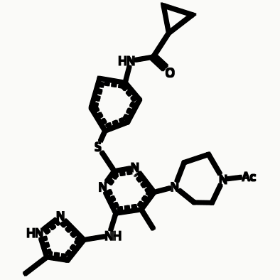 CC(=O)N1CCN(c2nc(Sc3ccc(NC(=O)C4CC4)cc3)nc(Nc3cc(C)[nH]n3)c2C)CC1